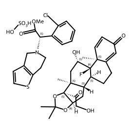 CC1(C)O[C@@H]2C[C@H]3[C@@H]4CCC5=CC(=O)C=C[C@]5(C)[C@@]4(F)[C@@H](O)C[C@]3(C)[C@]2(C(=O)CO)O1.COC(=O)[C@H](c1ccccc1Cl)N1CCc2sccc2C1.O=S(=O)(O)O